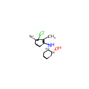 Cc1c(N[C@H]2CCCC[C@H]2O)ccc(C#N)c1Cl